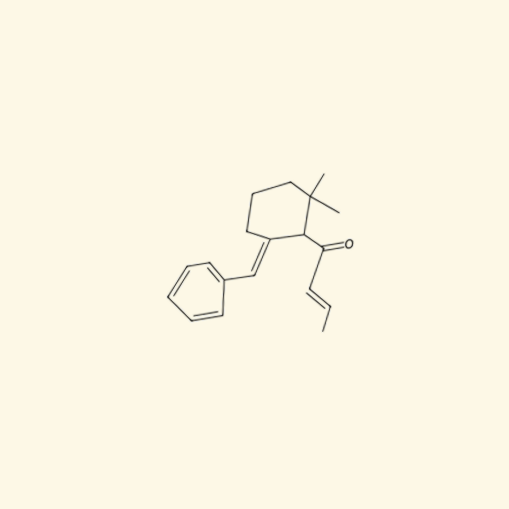 CC=CC(=O)C1C(=Cc2ccccc2)CCCC1(C)C